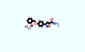 COc1ccccc1COc1ccc(-c2cc(C(N)=O)on2)cc1